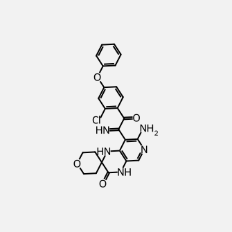 N=C(C(=O)c1ccc(Oc2ccccc2)cc1Cl)c1c(N)ncc2c1NC1(CCOCC1)C(=O)N2